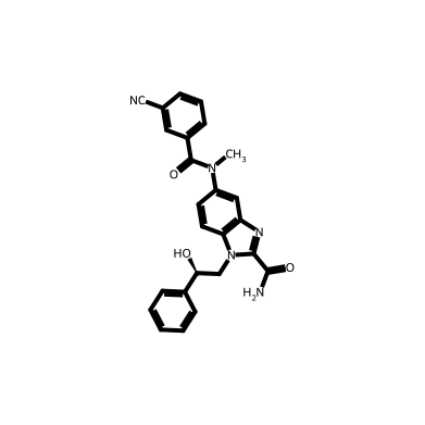 CN(C(=O)c1cccc(C#N)c1)c1ccc2c(c1)nc(C(N)=O)n2C[C@H](O)c1ccccc1